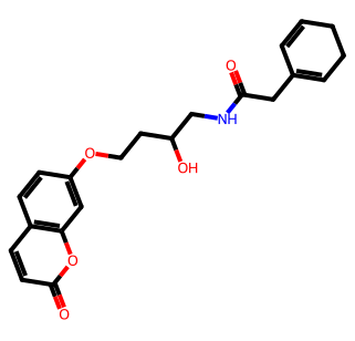 O=C(CC1=CCCC=C1)NCC(O)CCOc1ccc2ccc(=O)oc2c1